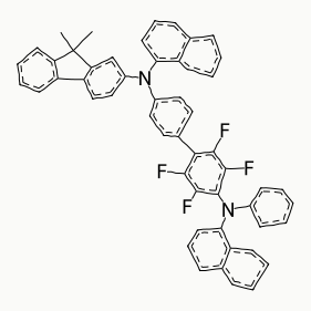 CC1(C)c2ccccc2-c2ccc(N(c3ccc(-c4c(F)c(F)c(N(c5ccccc5)c5cccc6ccccc56)c(F)c4F)cc3)c3cccc4ccccc34)cc21